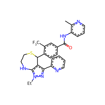 CCn1nc(-c2ccccn2)c2c1NCCSC2c1ccc(C(=O)Nc2cccnc2C)cc1C(F)(F)F